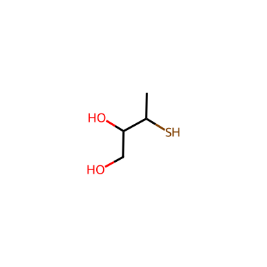 CC(S)C(O)CO